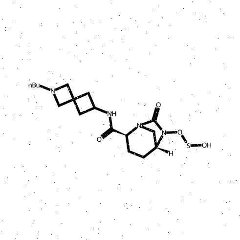 CCCCN1CC2(CC(NC(=O)[C@@H]3CC[C@@H]4CN3C(=O)N4OSO)C2)C1